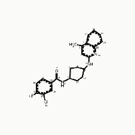 Cc1cc(NC2CCC(NC(=O)c3ccc(F)c(Cl)c3)CC2)nc2ccccc12